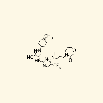 CN1CCC(n2cc(Nc3ncc(C(F)(F)F)c(NCCCN4CCCOCC4=O)n3)c(C#N)n2)CC1